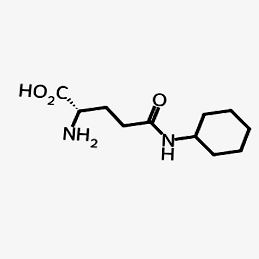 N[C@@H](CCC(=O)NC1CCCCC1)C(=O)O